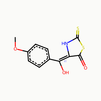 COc1ccc(/C(O)=C2\NC(=S)SC2=O)cc1